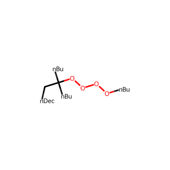 CCCCCCCCCCCC(CCCC)(CCCC)OOOOCCCC